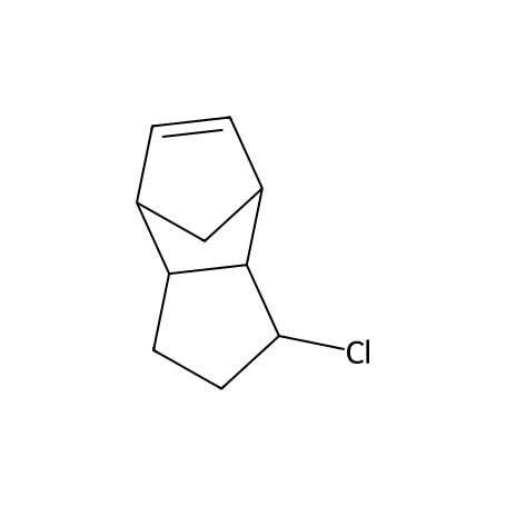 ClC1CCC2C3C=CC(C3)C12